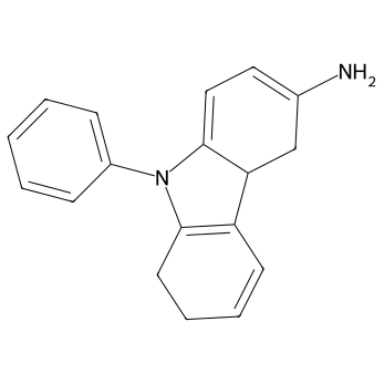 NC1=CC=C2C(C1)C1=C(CCC=C1)N2c1ccccc1